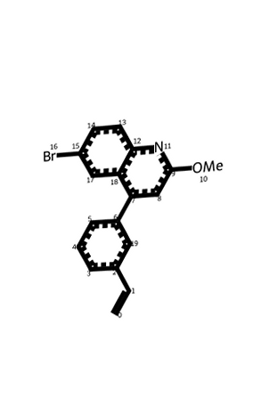 C=Cc1cccc(-c2cc(OC)nc3ccc(Br)cc23)c1